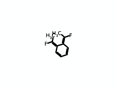 C/C(F)=c1/cccc/c1=C(/C)F